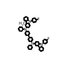 CC12CC(N(c3ccc(-c4ccc(N(c5ccccc5)c5ccc6c(c5)c5ccccc5n6-c5ccc(F)cc5)cc4)cc3)C3C=CC=CC3)=CC=C1N(c1ccc(F)cc1)c1ccccc12